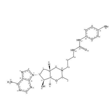 CC1O[C@@H]2[C@H](C[C@@H](n3cnc4c(N)ncnc43)[C@@H]2O)CN1CCCNC(=O)Nc1ccc(C(C)(C)C)cc1